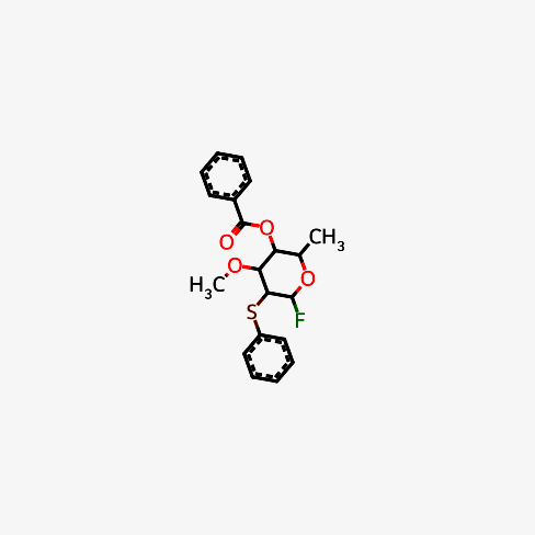 COC1C(OC(=O)c2ccccc2)C(C)OC(F)C1Sc1ccccc1